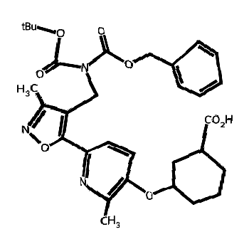 Cc1nc(-c2onc(C)c2CN(C(=O)OCc2ccccc2)C(=O)OC(C)(C)C)ccc1OC1CCCC(C(=O)O)C1